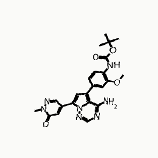 COc1cc(-c2cc(-c3cnn(C)c(=O)c3)n3ncnc(N)c23)ccc1NC(=O)OC(C)(C)C